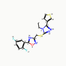 CCn1c(SCc2noc(-c3cc(F)ccc3F)n2)nnc1-c1ccsc1